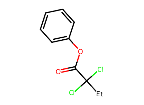 CCC(Cl)(Cl)C(=O)Oc1ccccc1